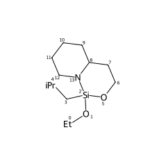 CCO[Si]1(CC(C)C)OCCC2CCCCN21